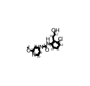 COc1cc(NC(=O)Nc2cccc(Cl)c2CCO)ccn1